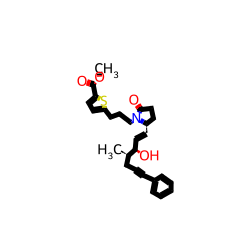 COC(=O)c1ccc(CCCN2C(=O)CC[C@@H]2/C=C/[C@@H](O)[C@@H](C)CC#Cc2ccccc2)s1